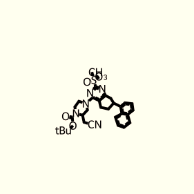 CC(C)(C)OC(=O)N1CCN(c2nc(S(C)(=O)=O)nc3c2CCC(c2cccc4ccccc24)C3)CC1CC#N